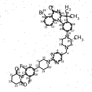 C[C@@H]1CN(Cc2cnc(N3CCC(c4cc(F)c(N5C(=O)CCCC5=O)c(F)c4)CC3)nc2)CCN1c1ccc2c(c1)-n1c(nc(=O)c3c(Br)cccc31)C2(C)C